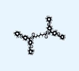 O=C(CCCCCCC(=O)OCC(c1ccc(OCc2ccccc2)cc1)c1ccc(OCc2ccccc2)cc1)OCC(c1ccc(OCc2ccccc2)cc1)c1ccc(OCc2ccccc2)cc1